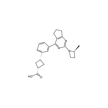 C[C@H]1CCN1c1nc2c(c(-c3cccc([C@H]4C[C@@H](C(=O)O)C4)c3)n1)CCC2